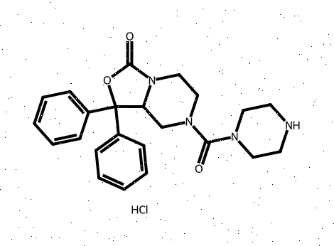 Cl.O=C(N1CCNCC1)N1CCN2C(=O)OC(c3ccccc3)(c3ccccc3)C2C1